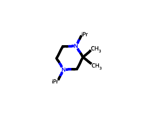 CC(C)N1CCN(C(C)C)C(C)(C)C1